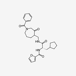 O=C(N[C@@H](CC1CCCC1)C(=O)NCC1CCCN(C(=O)c2ccccc2)CC1=O)c1ccco1